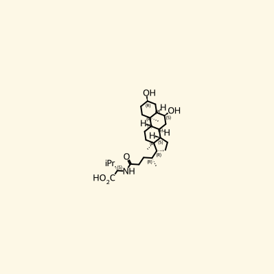 CC(C)[C@H](NC(=O)CC[C@@H](C)[C@H]1CC[C@H]2[C@@H]3C[C@H](O)[C@@H]4C[C@H](O)CC[C@]4(C)[C@H]3CC[C@]12C)C(=O)O